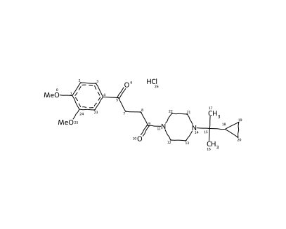 COc1ccc(C(=O)CCC(=O)N2CCN(C(C)(C)C3CC3)CC2)cc1OC.Cl